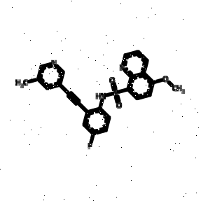 COc1ccc(S(=O)(=O)Nc2ccc(F)cc2C#Cc2cncc(C)c2)c2ncccc12